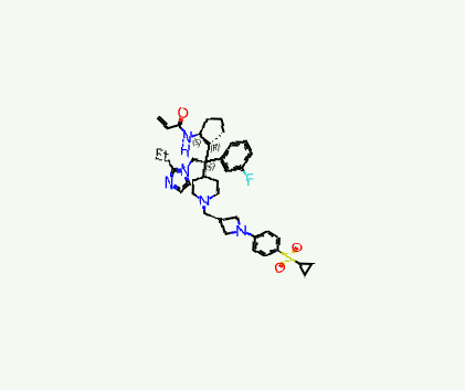 C=CC(=O)N[C@H]1CCC[C@@H]1[C@](Cn1ccnc1CC)(c1cccc(F)c1)C1CCN(CC2CN(c3ccc(S(=O)(=O)C4CC4)cc3)C2)CC1